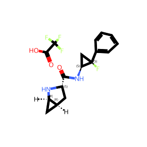 O=C(N[C@H]1C[C@]1(F)c1ccccc1)[C@@H]1C[C@H]2C[C@H]2N1.O=C(O)C(F)(F)F